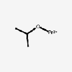 CC(C)[O][Pr+2]